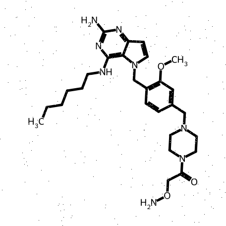 CCCCCCNc1nc(N)nc2ccn(Cc3ccc(CN4CCN(C(=O)CON)CC4)cc3OC)c12